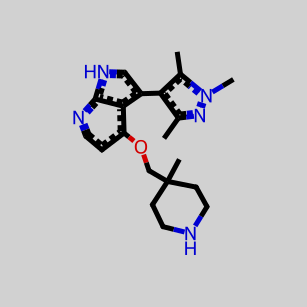 Cc1nn(C)c(C)c1-c1c[nH]c2nccc(OCC3(C)CCNCC3)c12